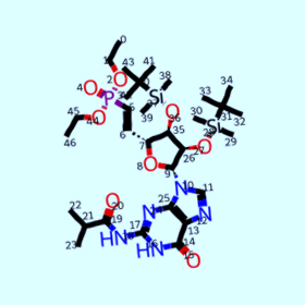 CCOP(=O)(/C=C/[C@H]1O[C@@H](n2cnc3c(=O)[nH]c(NC(=O)C(C)C)nc32)[C@H](O[Si](C)(C)C(C)(C)C)[C@@H]1O[Si](C)(C)C(C)(C)C)OCC